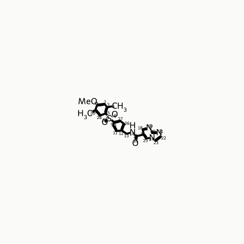 COc1cc(C)c(S(=O)(=O)c2ccc(CNC(=O)c3cnc4nccn4c3)cc2)cc1C